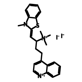 CN1C(=CC(CCC2=CC=[N+]c3ccccc32)[N+](C)(C)C)Sc2ccccc21.[I-].[I-]